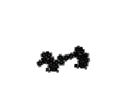 CC1(C)c2ccccc2-c2c(N(c3ccc(-c4ccc5oc6cccc(-c7nc(-c8ccccc8)nc(-c8ccccc8)n7)c6c5c4)cc3)c3ccc(-c4cccc5c4c4ccccc4n5-c4ccc(-c5ccc(-c6nc(-c7ccccc7)nc(-c7cccc8oc9ccc(-c%10ccc(N(c%11ccccc%11-c%11ccccc%11)c%11cccc%12c%11-c%11ccccc%11C%12(C)C)cc%10)cc9c78)n6)cc5)cc4)cc3)cccc21